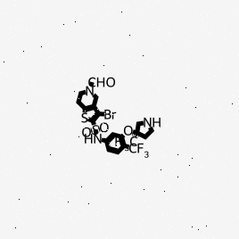 C[C@@]1(Oc2cc(NS(=O)(=O)c3sc4c(c3Br)CN(C=O)CC4)ccc2C(F)(F)F)CCNC1